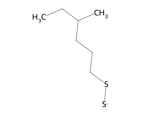 CCC(C)CCCS[S]